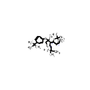 C\C=C/C(SC(C)(C)C)=C(\C=C\C(C)(C)C)C(C)(CC)SC1=CC#CC(C(C)(C)C)C=C1